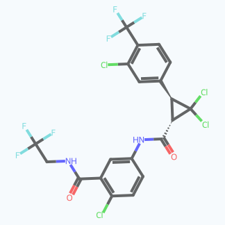 O=C(NCC(F)(F)F)c1cc(NC(=O)[C@@H]2[C@@H](c3ccc(C(F)(F)F)c(Cl)c3)C2(Cl)Cl)ccc1Cl